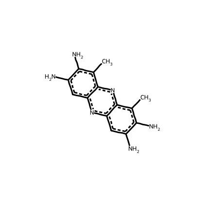 Cc1c(N)c(N)cc2nc3cc(N)c(N)c(C)c3nc12